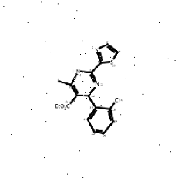 CCOC(=O)C1=C(C)NC(c2nccs2)=NC1c1ccccc1Cl